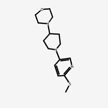 CSc1ccc(N2CCC(N3CCOCC3)CC2)cn1